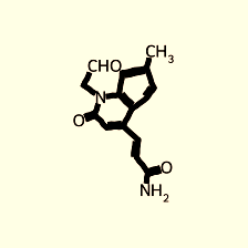 Cc1ccc2c(/C=C/C(N)=O)cc(=O)n(CC=O)c2c1